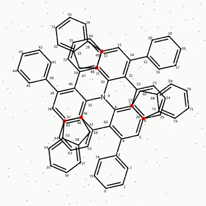 c1ccc(-c2cc3c(c(N(c4c5c(cc(-c6ccccc6)c4-c4ccccc4)-c4ccccc4C5)c4c5c(cc(-c6ccccc6)c4-c4ccccc4)-c4ccccc4C5)c2-c2ccccc2)Cc2ccccc2-3)cc1